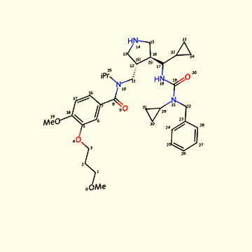 COCCCOc1cc(C(=O)N(C[C@@H]2CNC[C@H]2C(NC(=O)N(Cc2ccccc2)C2CC2)C2CC2)C(C)C)ccc1OC